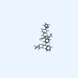 C=C(C)N1CCC(C(c2ccccc2)c2ccc(NC=O)c(/C(Cl)=C(\C)CN3CCC(n4cccn4)CC3)c2)CC1